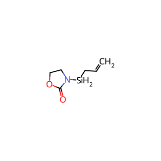 C=CC[SiH2]N1CCOC1=O